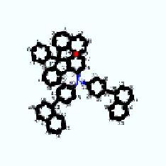 c1ccc(C2(c3cccc4ccccc34)c3ccccc3-c3c(N(c4ccc(-c5cccc6ccccc56)cc4)c4ccc(-c5cccc6ccccc56)cc4)cccc32)cc1